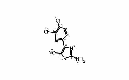 N#Cc1sc(N)nc1-c1ccc(Cl)c(Cl)c1